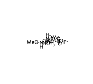 COCCNc1ccc(Nc2ncnc(OC3CCN(C(=O)OC(C)C)CC3)c2OC)c(C)n1